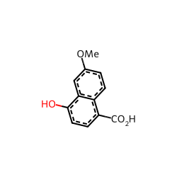 COc1ccc2c(C(=O)O)ccc(O)c2c1